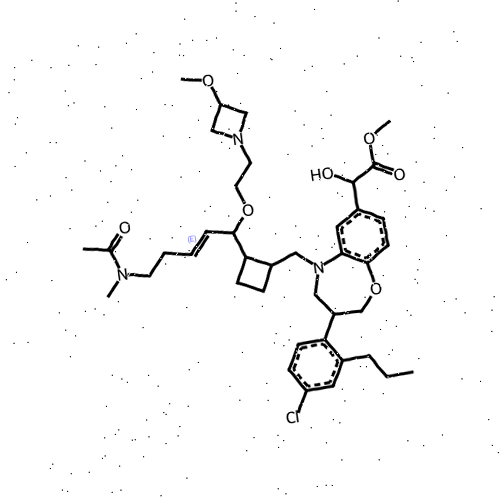 CCCc1cc(Cl)ccc1C1COc2ccc(C(O)C(=O)OC)cc2N(CC2CCC2C(/C=C/CCN(C)C(C)=O)OCCN2CC(OC)C2)C1